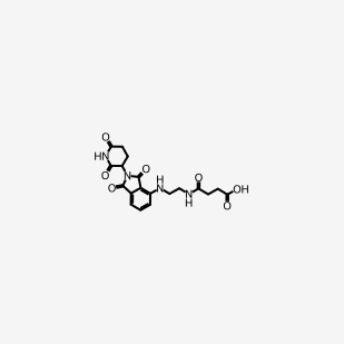 O=C(O)CCC(=O)NCCNc1cccc2c1C(=O)N(C1CCC(=O)NC1=O)C2=O